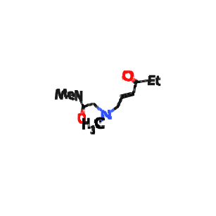 CCC(=O)/C=C/CN(C)CC(=O)NC